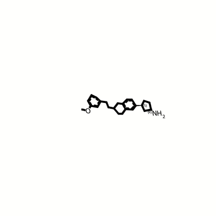 COc1cccc(CCC2CCc3cc([C@H]4CC[C@@H](N)C4)ccc3C2)c1